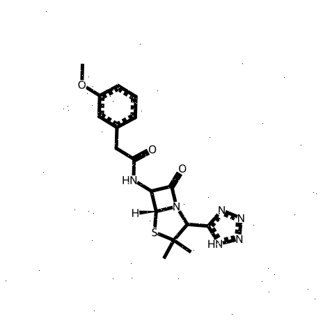 COc1cccc(CC(=O)NC2C(=O)N3C(c4nnn[nH]4)C(C)(C)S[C@H]23)c1